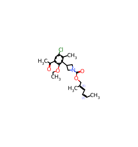 C/C=C\C=C(/C)COC(=O)N1CC(c2c(C)c(Cl)cc(C(C)=O)c2OCC)C1